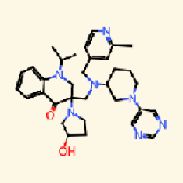 Cc1cc(CN(CC2(N3CC[C@@H](O)C3)CN(C(C)C)c3ccccc3C2=O)[C@H]2CCCN(c3cncnc3)C2)ccn1